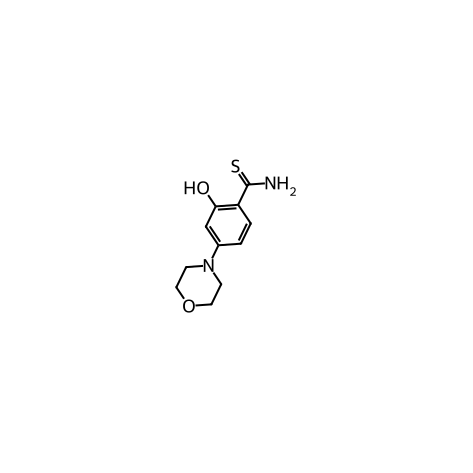 NC(=S)c1ccc(N2CCOCC2)cc1O